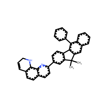 CC1(C)c2cc(-c3ccc4ccc5c(c4n3)NCC=C5)ccc2-c2c1cc1ccccc1c2-c1ccccc1